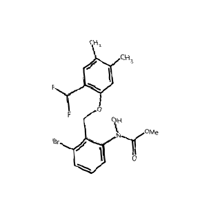 COC(=O)N(O)c1cccc(Br)c1COc1cc(C)c(C)cc1C(F)F